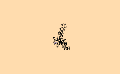 O=C1/C=C\C(=O)O[C@H]2[C@@H](O1)[C@H](n1ccc(NO)nc1=O)O[C@@H]2COC(=O)Cc1ccc2c(c1)CCC2